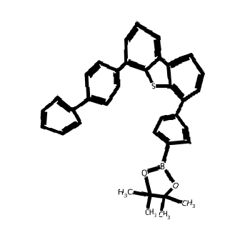 CC1(C)OB(c2ccc(-c3cccc4c3sc3c(-c5ccc(-c6ccccc6)cc5)cccc34)cc2)OC1(C)C